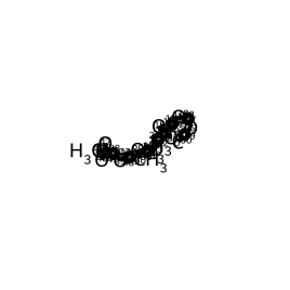 Cc1ccc(Oc2cccc(Oc3ccc(N4C(=O)c5ccc(Oc6ccc(C(C)(C)c7ccc(Oc8ccc9c(c8)C(=O)N(C)C9=O)cc7)cc6)cc5C4=O)cc3)c2)cc1